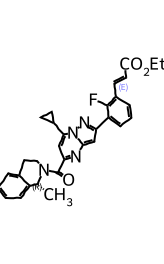 CCOC(=O)/C=C/c1cccc(-c2cc3nc(C(=O)N4CCc5ccccc5[C@H]4C)cc(C4CC4)n3n2)c1F